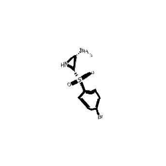 B[C@H]1N[C@H]1S(=O)(=O)c1ccc(Br)cc1